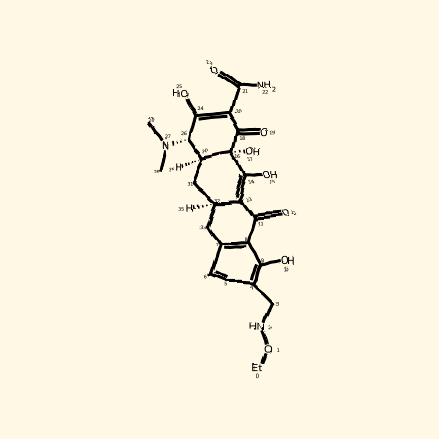 CCONCc1ccc2c(c1O)C(=O)C1=C(O)[C@]3(O)C(=O)C(C(N)=O)=C(O)[C@@H](N(C)C)[C@@H]3C[C@@H]1C2